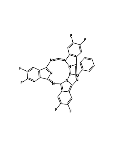 Fc1cc2c(cc1F)/C1=N/c3c4cc(F)c(F)cc4c4n3B(Oc3ccccc3)n3c(c5cc(F)c(F)cc5c3=N4)=C=NC2=N1